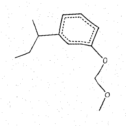 CCC(C)c1cccc(OCOC)c1